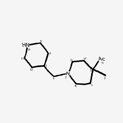 CC(=O)C1(C)CCN(CC2CCNCC2)CC1